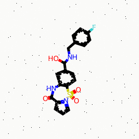 O=C1Nc2cc(C(O)NCc3ccc(F)cc3)ccc2S(=O)(=O)n2cccc21